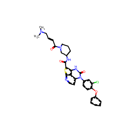 CN(C)CC=CC(=O)N1CCCC(NC(=O)c2sc3nccc4c3c2NC(=O)N4c2ccc(Oc3ccccc3)c(Cl)c2)C1